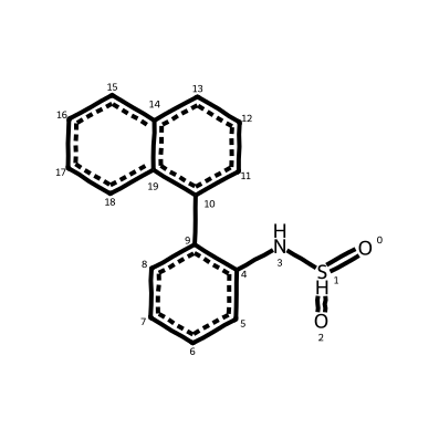 O=[SH](=O)Nc1ccccc1-c1cccc2ccccc12